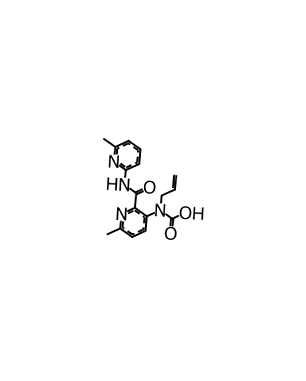 C=CCN(C(=O)O)c1ccc(C)nc1C(=O)Nc1cccc(C)n1